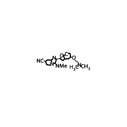 CNc1c(-c2cc3cc(OCCN(C)C)ccc3o2)nc2cc(C#N)ccn12